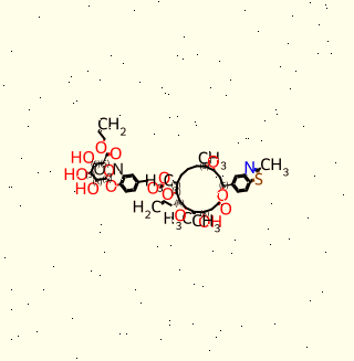 C=CCOC(=O)[C@H]1O[C@@H](Oc2ccc(COC(=O)O[C@H]3[C@@H](C)CCC[C@]4(C)OC4C[C@@H](c4ccc5sc(C)nc5c4)OC(=O)C[C@H](O)C(C)(C)C(=O)[C@@H]3CC=C)cc2[N+](=O)[O-])[C@H](O)[C@@H](O)[C@@H]1O